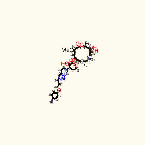 CC[C@H]1OC(=O)[C@H](C)[C@@H](OC)[C@H](C)[C@@H](O[C@@H]2O[C@H](C)C[C@H](N(C)CCc3cn(CCCOc4ccc(I)cc4)nn3)[C@H]2O)[C@](C)(O)C[C@@H](C)CN(C)[C@H](C)[C@@H](O)[C@]1(C)O